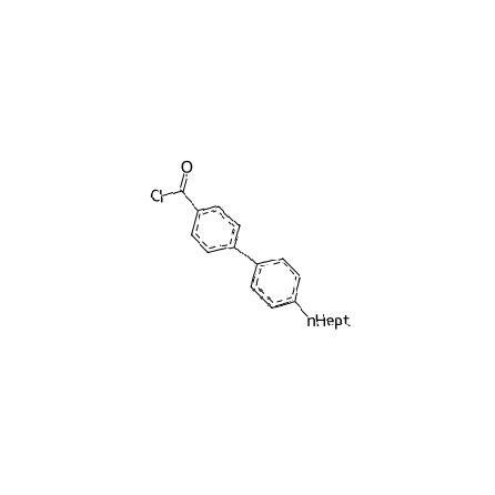 CCCCCCCc1ccc(-c2ccc(C(=O)Cl)cc2)cc1